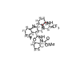 COC(=O)N(NC(=O)c1c(CN2CCNC(C(F)(F)F)C2)c(-c2ccccc2)nc2cccc(F)c12)c1ccccc1